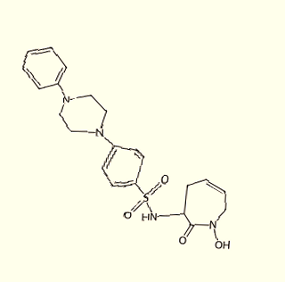 O=C1C(NS(=O)(=O)c2ccc(N3CCN(c4ccccc4)CC3)cc2)CC=CCN1O